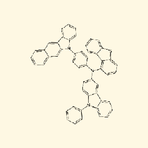 c1ccc(-n2c3ccccc3c3cc(N(c4ccc(-n5c6ccccc6c6cc7ccccc7cc65)cc4)c4cccc5sc6ccccc6c45)ccc32)cc1